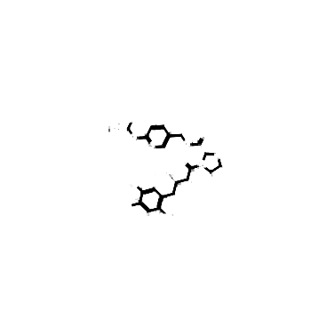 CC(C)[C@@H](Nc1ccc(CNC(=O)[C@@H]2SCCN2C(=O)C[C@H](N)Cc2cc(F)c(F)cc2F)cn1)C(=O)O